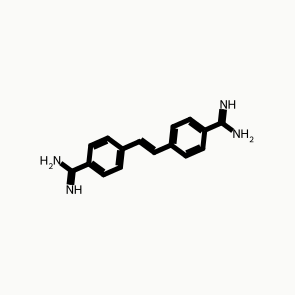 N=C(N)c1ccc(C=Cc2ccc(C(=N)N)cc2)cc1